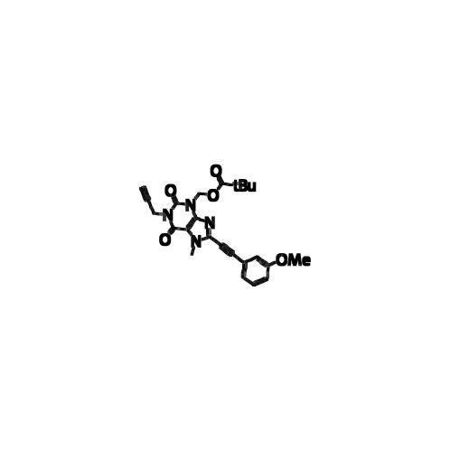 C#CCn1c(=O)c2c(nc(C#Cc3cccc(OC)c3)n2C)n(COC(=O)C(C)(C)C)c1=O